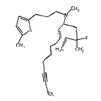 C=CC(C)(F)CC(/C=C/CCCC#CCC)N(C)CCCc1ccc(C)s1